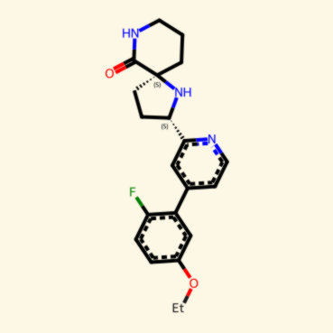 CCOc1ccc(F)c(-c2ccnc([C@@H]3CC[C@]4(CCCNC4=O)N3)c2)c1